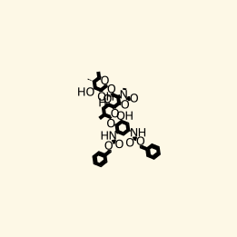 CC1C[C@@H]2OC(O[C@H]3OC(C)[C@@H](C)[C@@H](O)C3O)C3C(OC(=O)N3C)C2O[C@@H]1O[C@@H]1C(NC(=O)OCc2ccccc2)C[C@@H](NC(=O)OCc2ccccc2)C[C@H]1O